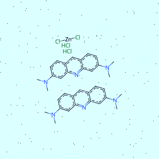 CN(C)c1ccc2cc3ccc(N(C)C)cc3nc2c1.CN(C)c1ccc2cc3ccc(N(C)C)cc3nc2c1.Cl.Cl.[Cl][Zn][Cl]